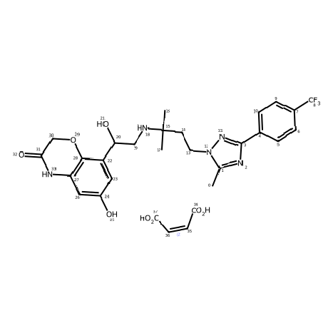 Cc1nc(-c2ccc(C(F)(F)F)cc2)nn1CCC(C)(C)NCC(O)c1cc(O)cc2c1OCC(=O)N2.O=C(O)/C=C\C(=O)O